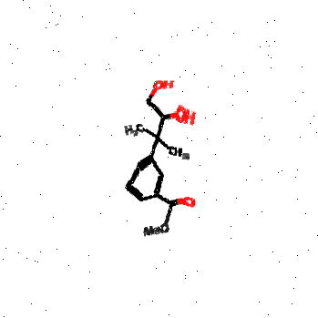 COC(=O)c1cccc(C(C)(C)C(O)CO)c1